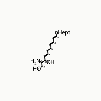 CCCCCCC/C=C/C=C/CC/C=C/C(O)C(N)CO